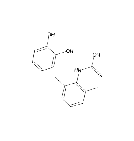 Cc1cccc(C)c1NC(O)=S.Oc1ccccc1O